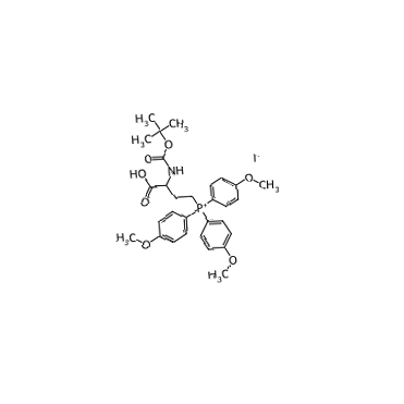 COc1ccc([P+](CCC(NC(=O)OC(C)(C)C)C(=O)O)(c2ccc(OC)cc2)c2ccc(OC)cc2)cc1.[I-]